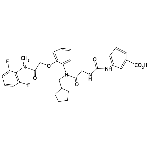 CN(C(=O)COc1ccccc1N(CC1CCCC1)C(=O)CNC(=O)Nc1cccc(C(=O)O)c1)c1c(F)cccc1F